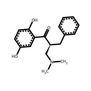 CN(C)C[C@H](Cc1ccccc1)C(=O)c1cc(O)ccc1O